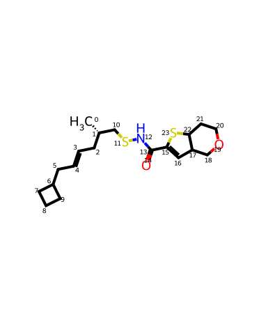 C[C@@H](C/C=C/CC1CCC1)CSNC(=O)C1=CC2COCCC2S1